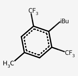 CCC(C)c1c(C(F)(F)F)cc(C)cc1C(F)(F)F